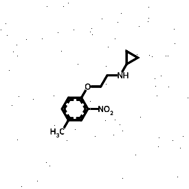 Cc1ccc(OCCNC2CC2)c([N+](=O)[O-])c1